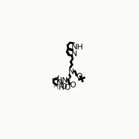 C[C@@H]1CC[C@@H](C)N1C(=O)N[C@@H](CCN(CCCCc1ccc2c(n1)NCCC2)CCOC(C)(C)C)C(=O)O